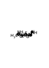 CN1C[C@@H](N)C[C@@H](c2nc(-c3ccc(NC(=O)c4cccc(-c5ccn[nH]5)n4)c(F)c3)no2)C1